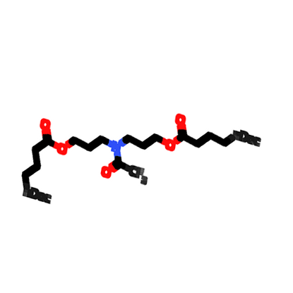 CCCCCCCCCCCCCC(=O)OCCCN(CCCOC(=O)CCCCCCCCCCCCC)C(=O)C(F)(F)F